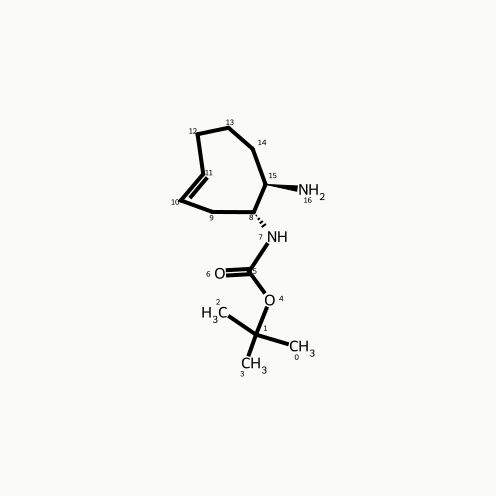 CC(C)(C)OC(=O)N[C@@H]1C/C=C/CCC[C@H]1N